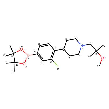 COC(C)(C)CN1CCC(c2ccc(B3OC(C)(C)C(C)(C)O3)cc2F)CC1